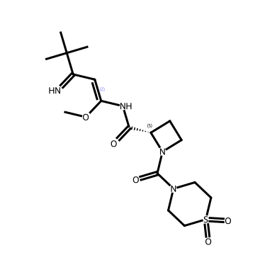 CO/C(=C\C(=N)C(C)(C)C)NC(=O)[C@@H]1CCN1C(=O)N1CCS(=O)(=O)CC1